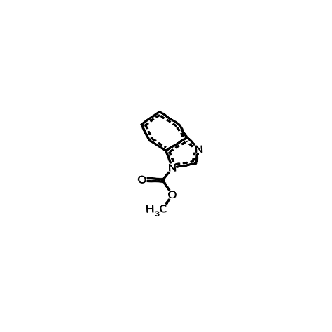 COC(=O)n1cnc2ccccc21